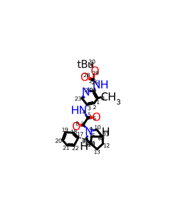 Cc1cc(NC(=O)C(=O)N2C[C@H]3CC[C@H](C3)[C@@H]2c2ccccc2)cnc1NC(=O)OC(C)(C)C